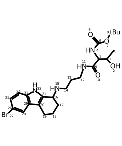 CC(O)C(NC(=O)OC(C)(C)C)C(=O)NCCCNC1CCCc2c1[nH]c1ccc(Br)cc21